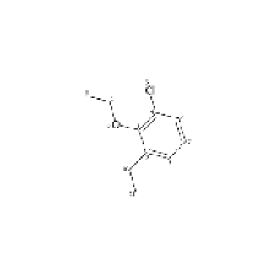 CCOc1c(Cl)[c]ccc1CC